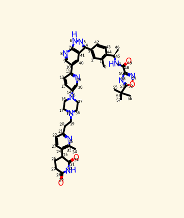 Cc1cc(-c2n[nH]c3ncc(-c4ccc(N5CCN(CCc6ccc(C7CCC(=O)NC7=O)c(C)n6)CC5)cn4)cc23)ccc1[C@@H](C)NC(=O)c1noc(C(C)(C)C)n1